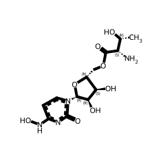 C[C@@H](O)[C@H](N)C(=O)OC[C@H]1O[C@@H](n2ccc(NO)nc2=O)[C@H](O)[C@@H]1O